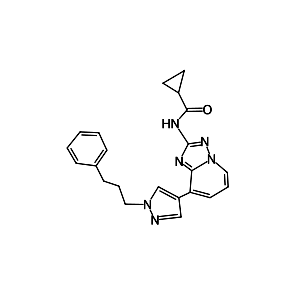 O=C(Nc1nc2c(-c3cnn(CCCc4ccccc4)c3)cccn2n1)C1CC1